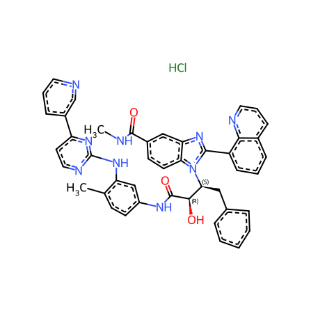 CNC(=O)c1ccc2c(c1)nc(-c1cccc3cccnc13)n2[C@@H](Cc1ccccc1)[C@@H](O)C(=O)Nc1ccc(C)c(Nc2nccc(-c3cccnc3)n2)c1.Cl